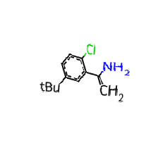 C=C(N)c1cc(C(C)(C)C)ccc1Cl